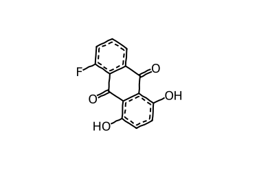 O=C1c2cccc(F)c2C(=O)c2c(O)ccc(O)c21